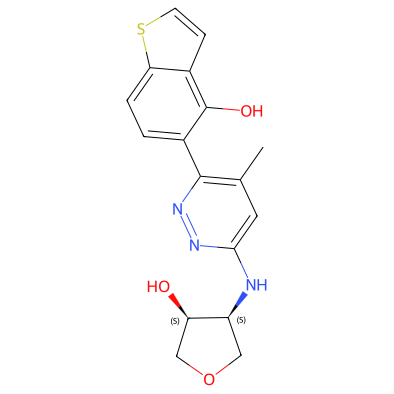 Cc1cc(N[C@H]2COC[C@H]2O)nnc1-c1ccc2sccc2c1O